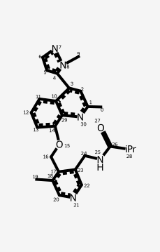 Cc1cc(-c2ccnn2C)c2cccc(OCc3c(C)cncc3CNC(=O)C(C)C)c2n1